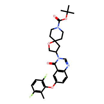 Cc1c(F)ccc(F)c1Oc1ccc2ncn(C3COC4(CCN(C(=O)OC(C)(C)C)CC4)C3)c(=O)c2c1